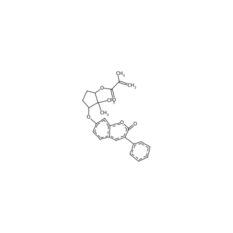 C=C(C)C(=O)OC1CCC(Oc2ccc3cc(-c4ccccc4)c(=O)oc3c2)C1(C)C(F)(F)F